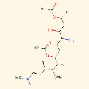 CCC(=O)O[C@H](CC)C[C@H](O)[C@@H](N)CC[C@@H](OC(=O)CC)[C@H](C)[C@H](OC)[C@H](C)/C=C/N(C)C=O